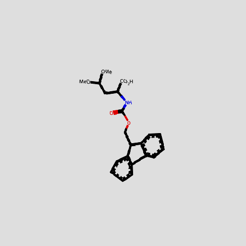 COC(CC(NC(=O)OCC1c2ccccc2-c2ccccc21)C(=O)O)OC